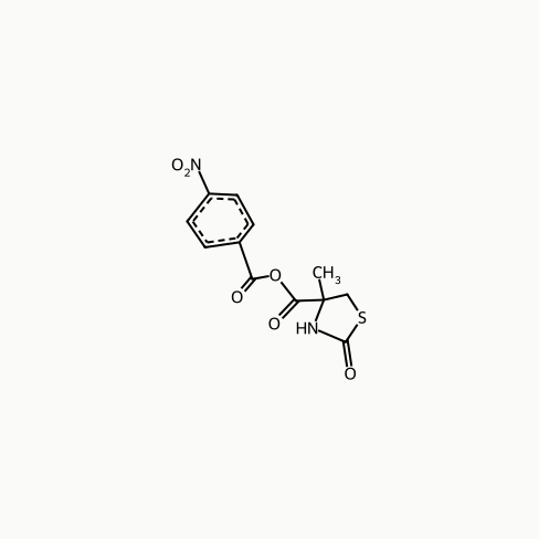 CC1(C(=O)OC(=O)c2ccc([N+](=O)[O-])cc2)CSC(=O)N1